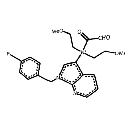 COCC[N+](CCOC)(C(=O)C=O)c1cn(Cc2ccc(F)cc2)c2ncccc12